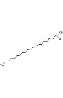 CCCCCCCCCCCCC/C=C/C=C/CCCC(=O)O